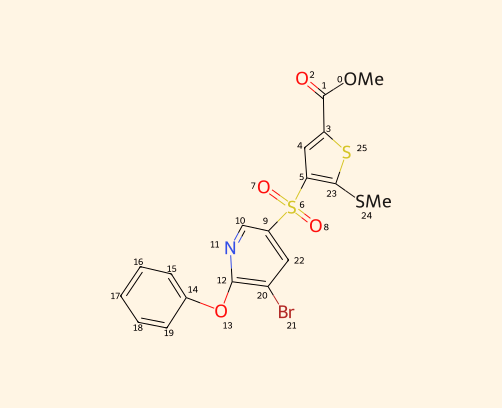 COC(=O)c1cc(S(=O)(=O)c2cnc(Oc3ccccc3)c(Br)c2)c(SC)s1